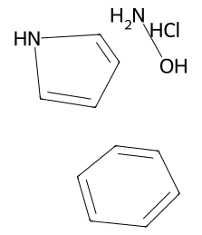 Cl.NO.c1cc[nH]c1.c1ccccc1